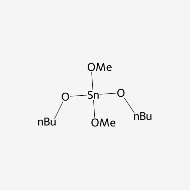 CCCC[O][Sn]([O]C)([O]C)[O]CCCC